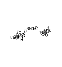 CCN(C)S(=O)(=O)Nc1ccc(F)c(C(=O)c2c[nH]c3ncc(-c4ccc(CN5CCN(C6CCN(C(=O)CCCCCNc7cccc8c7C(=O)N(C7CCC(=O)NC7=O)C8=O)CC6)CC5)cc4)cc23)c1F